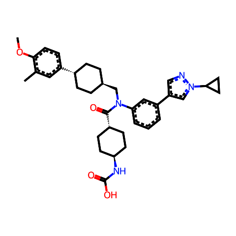 COc1ccc([C@H]2CC[C@H](CN(c3cccc(-c4cnn(C5CC5)c4)c3)C(=O)[C@H]3CC[C@H](NC(=O)O)CC3)CC2)cc1C